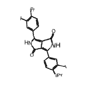 CC(C)c1ccc(C2=C3C(=O)NC(c4ccc(C(C)C)c(I)c4)=C3C(=O)N2)cc1I